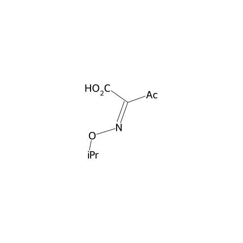 CC(=O)C(=NOC(C)C)C(=O)O